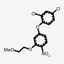 COCCOc1cc(Oc2ccc(Cl)cc2Cl)ccc1[N+](=O)[O-]